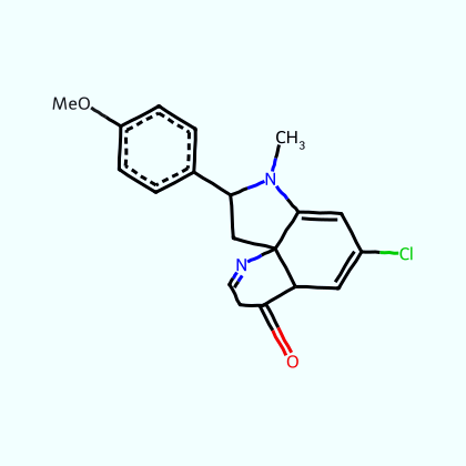 COc1ccc(C2CC34N=CCC(=O)C3C=C(Cl)C=C4N2C)cc1